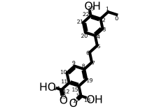 CCc1cc(CCCc2ccc(C(=O)O)c(C(=O)O)c2)ccc1O